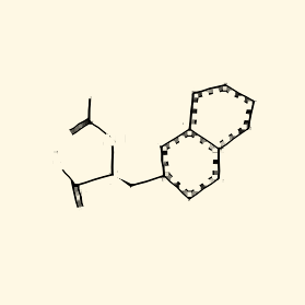 CC(=O)N[C@@H](Cc1ccc2ccccc2c1)C(=O)O